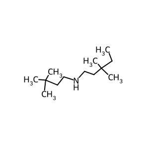 CCC(C)(C)CCNCCC(C)(C)C